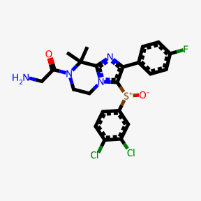 CC1(C)c2nc(-c3ccc(F)cc3)c([S+]([O-])c3ccc(Cl)c(Cl)c3)n2CCN1C(=O)CN